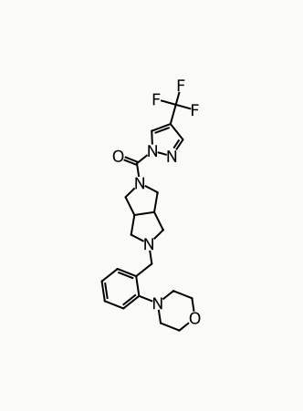 O=C(N1CC2CN(Cc3ccccc3N3CCOCC3)CC2C1)n1cc(C(F)(F)F)cn1